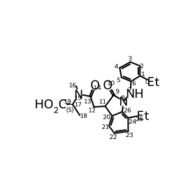 CCc1ccccc1NN1C(=O)C(CC(=O)N(C)[C@@H](C)C(=O)O)c2cccc(CC)c21